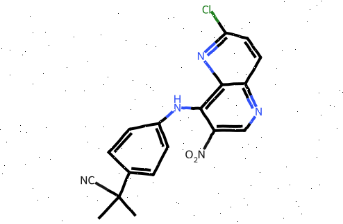 CC(C)(C#N)c1ccc(Nc2c([N+](=O)[O-])cnc3ccc(Cl)nc23)cc1